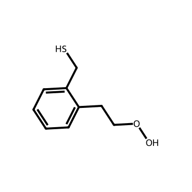 OOCCc1ccccc1CS